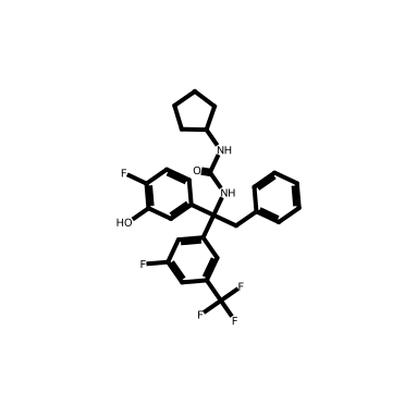 O=C(NC1CCCC1)NC(Cc1ccccc1)(c1cc(F)cc(C(F)(F)F)c1)c1ccc(F)c(O)c1